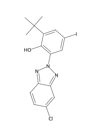 CC(C)(C)c1cc(I)cc(-n2nc3ccc(Cl)cc3n2)c1O